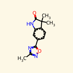 Cc1noc(-c2ccc3c(c2)NC(=O)C3(C)C)n1